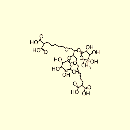 CC1O[C@@H](OC(COCCCCCC(C(=O)O)C(=O)O)C(COCCCCCC(C(=O)O)C(=O)O)O[C@@H]2OC(C)[C@@H](O)C(O)C2O)C(O)C(O)[C@@H]1O